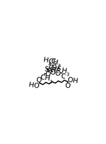 CCOP(=S)(OCC)OP(=S)(OCC)OCC.O=C(O)CCCCCCCCC(=O)O